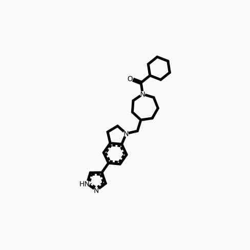 O=C(C1CCCCC1)N1CCCC(CN2CCc3cc(-c4cn[nH]c4)ccc32)CC1